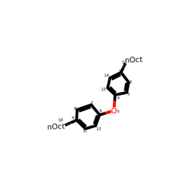 CCCCCCCCc1ccc(Oc2ccc(CCCCCCCC)cc2)cc1